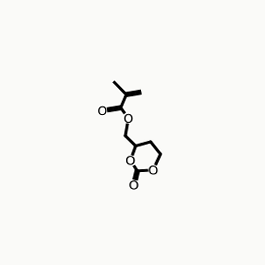 C=C(C)C(=O)OCC1CCOC(=O)O1